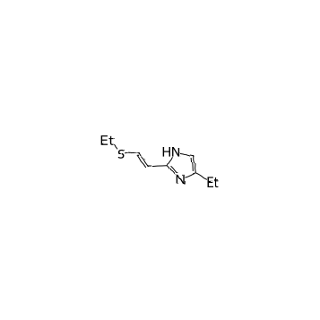 CCSC=Cc1nc(CC)c[nH]1